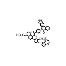 C1=CNc2ccccc2N=C1.Cc1ccc2c(c1C)CC(C(=O)c1ccc(NC(=O)c3ccccc3-c3ccc(CN)cc3)cc1)c1c-2ccc2c1CCCC2CC(=O)O